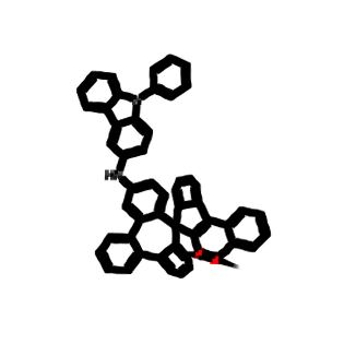 c1ccc(-n2c3ccccc3c3cc(Nc4ccc5c(c4)-c4ccccc4-c4ccccc4C54c5ccccc5-c5c4c4ccccc4c4ccccc54)ccc32)cc1